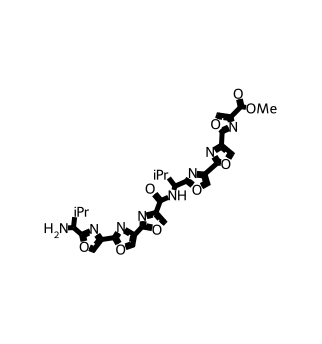 COC(=O)c1coc(-c2coc(-c3coc(C(NC(=O)c4coc(-c5coc(-c6coc(C(N)C(C)C)n6)n5)n4)C(C)C)n3)n2)n1